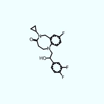 O=C1CCN(CC(O)c2ccc(F)c(F)c2)c2ccc(F)cc2CN1C1CC1